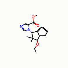 CCO[C@@H]1c2ccccc2[C@@H](n2cncc2C(=O)OC)C1(C)C